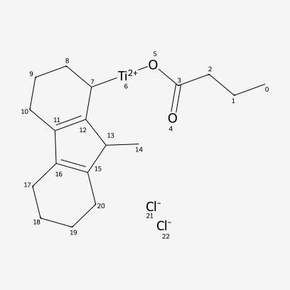 CCCC(=O)[O][Ti+2][CH]1CCCC2=C1C(C)C1=C2CCCC1.[Cl-].[Cl-]